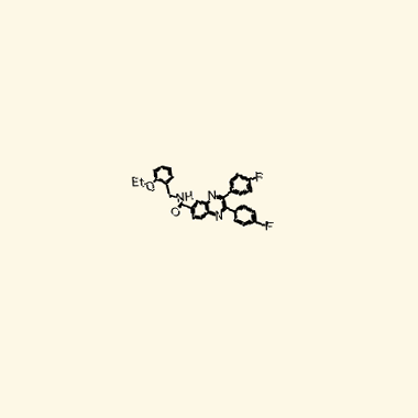 CCOc1ccccc1CNC(=O)c1ccc2nc(-c3ccc(F)cc3)c(-c3ccc(F)cc3)nc2c1